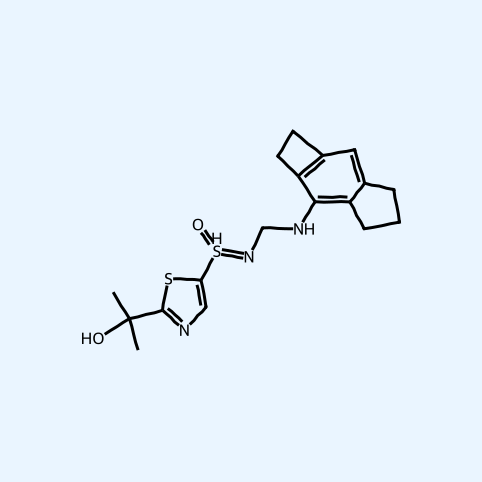 CC(C)(O)c1ncc([SH](=O)=NCNc2c3c(cc4c2CC4)CCC3)s1